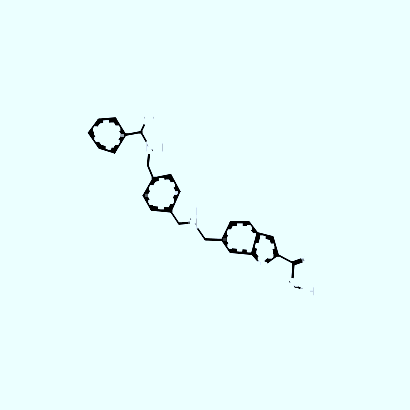 O=C(NO)c1cc2ccc(CNCc3ccc(CNC(C(=O)O)c4ccccc4)cc3)cc2s1